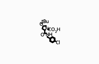 CC(C)(C)OC1CC(C(=O)NCc2ccc(Cl)cc2)N(C(=O)O)C1